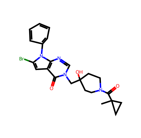 CC1(C(=O)N2CCC(O)(Cn3cnc4c(cc(Br)n4-c4ccccc4)c3=O)CC2)CC1